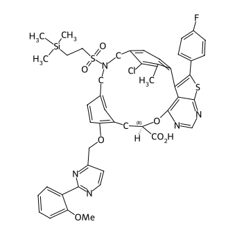 COc1ccccc1-c1nccc(COc2ccc3cc2C[C@H](C(=O)O)Oc2ncnc4sc(-c5ccc(F)cc5)c(c24)-c2ccc(c(Cl)c2C)CN(S(=O)(=O)CC[Si](C)(C)C)C3)n1